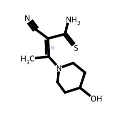 C/C(=C(\C#N)C(N)=S)N1CCC(O)CC1